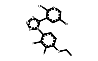 CCOc1ccc(-n2nnnc2-c2cc(Br)cnc2N)c(F)c1F